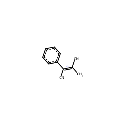 C/C(C#N)=C(\C#N)c1ccccc1